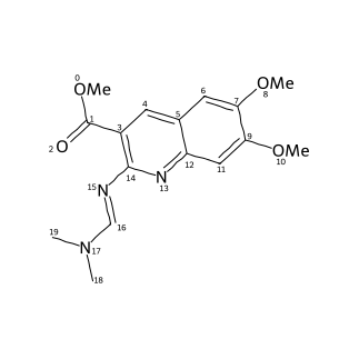 COC(=O)c1cc2cc(OC)c(OC)cc2nc1N=CN(C)C